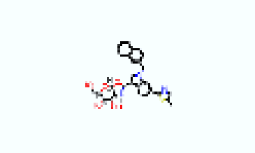 Cc1cnc(-c2ccc3c(C4=N[C@@H]5C(O)[C@H](O)[C@@H](CO)O[C@@H]5O4)cn(Cc4ccc5ccccc5c4)c3c2)s1